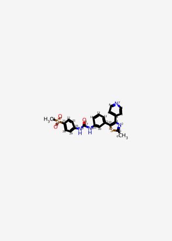 Cc1nc(-c2ccncc2)c(-c2cccc(NC(=O)Nc3ccc(S(C)(=O)=O)cc3)c2)s1